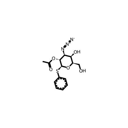 CC(=O)O[C@@H]1[C@@H](N=[N+]=[N-])[C@@H](O)[C@@H](CO)O[C@H]1Sc1ccccc1